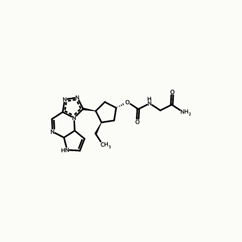 CC[C@@H]1C[C@@H](OC(=O)NCC(N)=O)C[C@@H]1c1nnc2n1C1C=CNC1N=C2